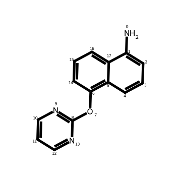 Nc1cccc2c(Oc3ncccn3)cccc12